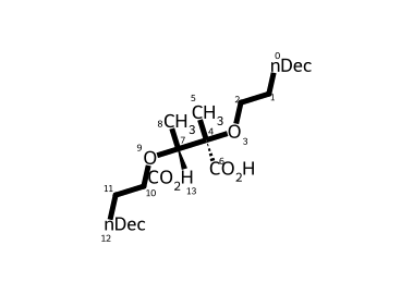 CCCCCCCCCCCCO[C@@](C)(C(=O)O)[C@@](C)(OCCCCCCCCCCCC)C(=O)O